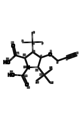 C#CCOC1C(C(C)(C)C)C(C(=O)O)N(C(=O)O)C1C(C)(C)C